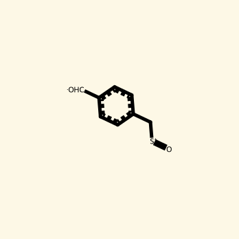 O=[C]c1ccc(C[S+]=O)cc1